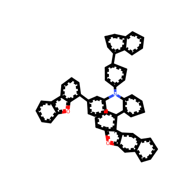 c1cc(-c2cccc3c2oc2ccccc23)cc(N(c2ccc(-c3cccc4ccccc34)cc2)c2ccccc2-c2cccc3oc4cc5ccccc5cc4c23)c1